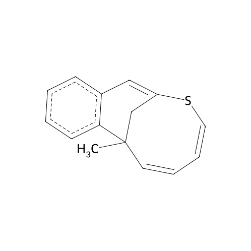 CC12C=CC=CSC(=Cc3ccccc31)C2